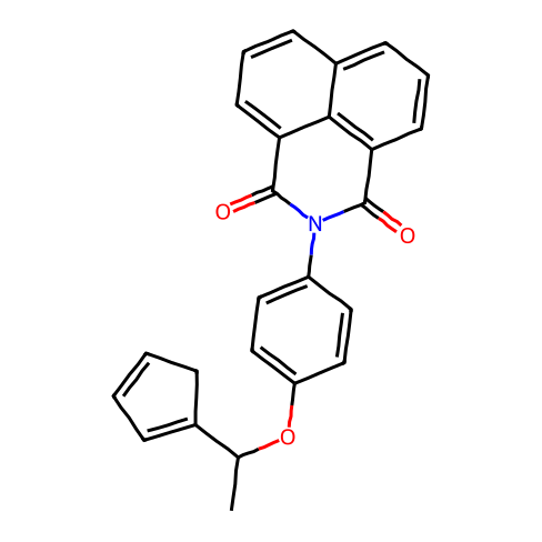 CC(Oc1ccc(N2C(=O)c3cccc4cccc(c34)C2=O)cc1)C1=CC=CC1